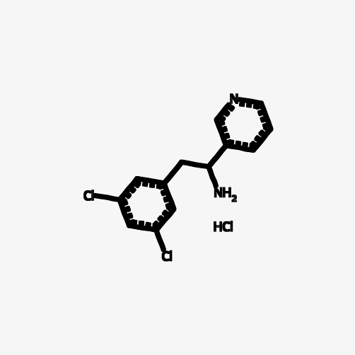 Cl.NC(Cc1cc(Cl)cc(Cl)c1)c1cccnc1